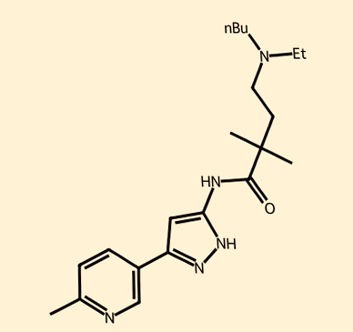 CCCCN(CC)CCC(C)(C)C(=O)Nc1cc(-c2ccc(C)nc2)n[nH]1